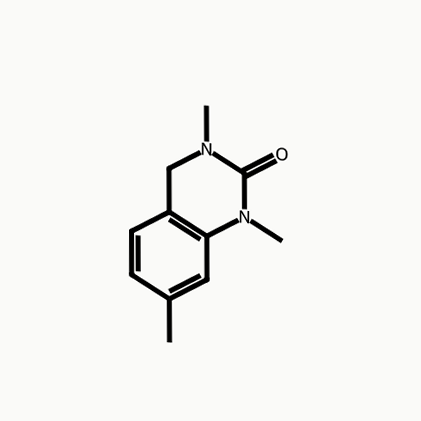 Cc1ccc2c(c1)N(C)C(=O)N(C)C2